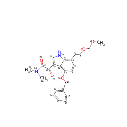 COCOCCc1ccc(OCc2ccccc2)c2c(C(=O)C(=O)N(C)C)c[nH]c12